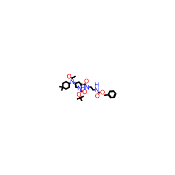 CC(=O)N(C1CCC(C)(C)CC1)[C@H]1C[C@@H](C(=O)NCCNC(=O)OCc2ccccc2)N(C(=O)OC(C)(C)C)C1